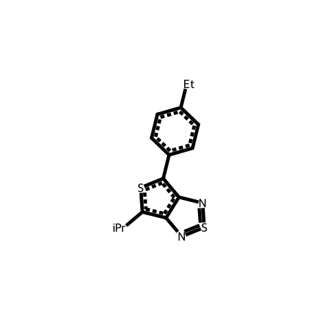 CCc1ccc(-c2sc(C(C)C)c3c2N=S=N3)cc1